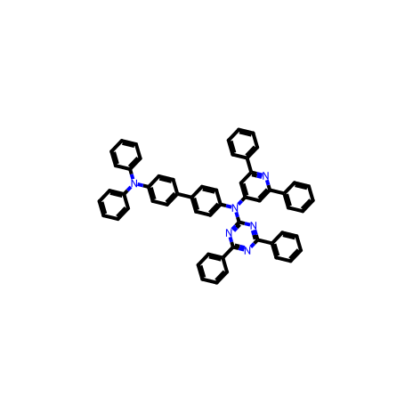 c1ccc(-c2cc(N(c3ccc(-c4ccc(N(c5ccccc5)c5ccccc5)cc4)cc3)c3nc(-c4ccccc4)nc(-c4ccccc4)n3)cc(-c3ccccc3)n2)cc1